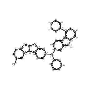 Clc1ccc2sc3sc4cc(N(c5ccccc5)c5ccc6c(c5)sc5cccc(-c7ccccc7)c56)ccc4c3c2c1